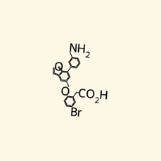 NCc1cccc(-c2cc(COc3ccc(Br)cc3CC(=O)O)cc3ccoc23)c1